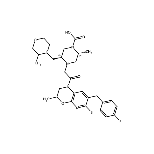 CC1CN(C(=O)CN2C[C@@H](C)N(C(=O)O)C[C@@H]2CN2CCOCC2C)c2cc(Cc3ccc(F)cc3)c(Br)nc2O1